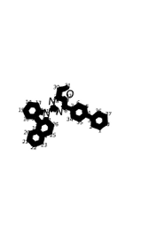 c1ccc(-c2ccc(-c3nc(-n4c5ccccc5c5c6ccccc6ccc54)nc4ccoc34)cc2)cc1